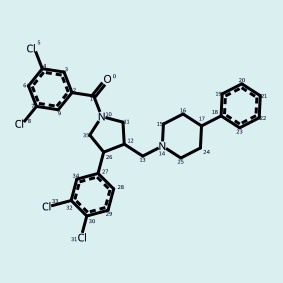 O=C(c1cc(Cl)cc(Cl)c1)N1CC(CN2CCC(c3ccccc3)CC2)C(c2ccc(Cl)c(Cl)c2)C1